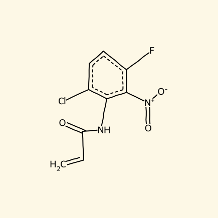 C=CC(=O)Nc1c(Cl)ccc(F)c1[N+](=O)[O-]